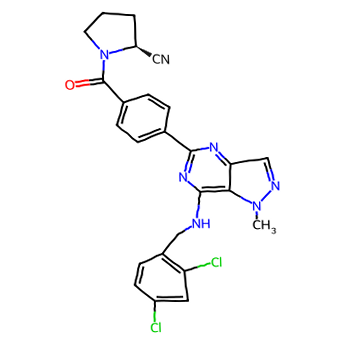 Cn1ncc2nc(-c3ccc(C(=O)N4CCC[C@H]4C#N)cc3)nc(NCc3ccc(Cl)cc3Cl)c21